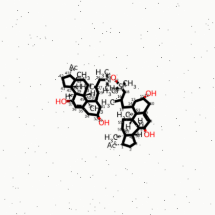 CC(=O)[C@H]1CC[C@H]2[C@@H]3C(O)C=C4CC(O)CC(CC(C)C[Si](C)(C)O[Si](C)(C)CC(C)CC5CC(O)CC6=CC(O)[C@H]7[C@@H]8CC[C@H](C(C)=O)[C@@]8(C)CC[C@@H]7[C@]65C)[C@]4(C)[C@H]3CC[C@]12C